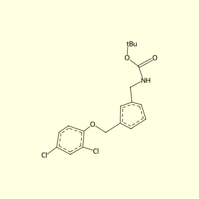 CC(C)(C)OC(=O)NCc1cccc(COc2ccc(Cl)cc2Cl)c1